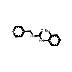 O=C(NCc1ccncc1)Nc1ccccc1Br